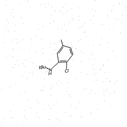 Cc1ccc(Cl)c(NC(C)(C)C)c1